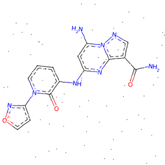 NC(=O)c1cnn2c(N)cc(Nc3cccn(-c4ccon4)c3=O)nc12